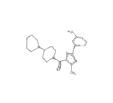 Cc1cccc(-c2nc(C)c(C(=O)N3CCC(N4CCCCC4)CC3)s2)c1